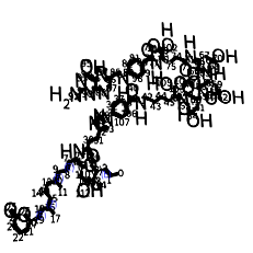 C/C=C/[C@@H]1O[C@H]([C@@H](/C=C/C=C(\C)C[C@@H](C)/C=C(C)\C=C\[C@H]2CC=CC(=O)O2)NC(=O)CCc2cn(-c3ccc(C(=O)NCCCC[C@H](NC(=O)[C@H](CC(=O)O)NC(=O)[C@H](CC(=O)O)NC(=O)[C@@H](CC(=O)O)NC(=O)CC[C@H](NC(=O)c4ccc(NCc5cnc6nc(N)nc(O)c6n5)cc4)C(=O)O)C(=O)O)cc3)nn2)C[C@@H](O)[C@@H]1C